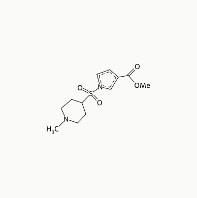 COC(=O)c1ccn(S(=O)(=O)C2CCN(C)CC2)c1